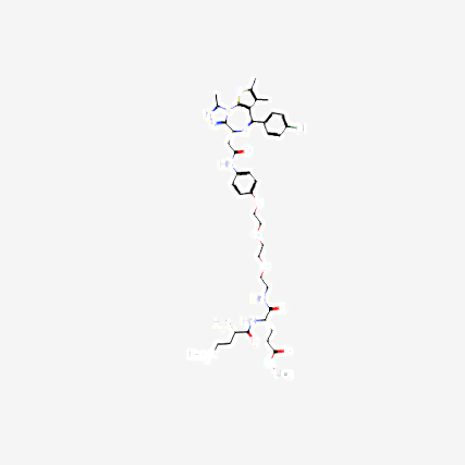 Cc1sc2c(c1C)C(c1ccc(Cl)cc1)=N[C@@H](CC(=O)Nc1ccc(OCCOCCOCCNC(=O)[C@@H](CCC(=O)OC(C)(C)C)NC(=O)[C@H](N)CCC(=O)O)cc1)c1nnc(C)n1-2